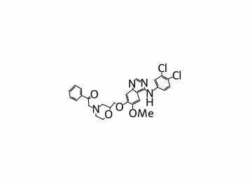 COc1cc2c(Nc3ccc(Cl)c(Cl)c3)ncnc2cc1OCC1CN(CC(=O)c2ccccc2)CCO1